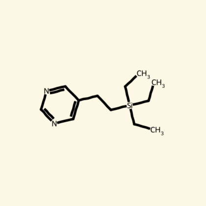 CC[Si](CC)(CC)CCc1cncnc1